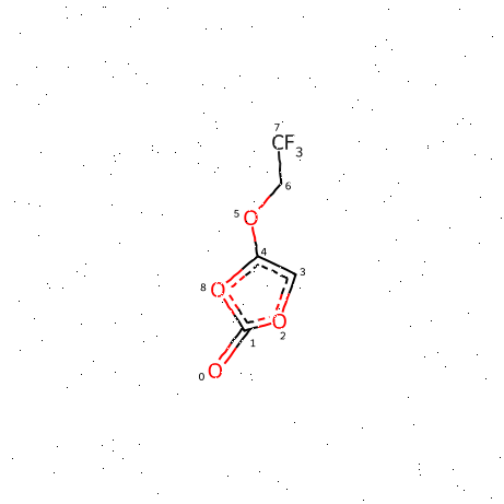 O=c1occ(OCC(F)(F)F)o1